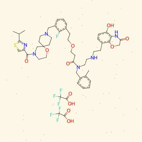 Cc1ccccc1CN(CCNCCc1ccc(O)c2c1OCC(=O)N2)C(=O)CCOCCc1cccc(CN2CCC3(CC2)CN(C(=O)c2csc(C(C)C)n2)CCO3)c1F.O=C(O)C(F)(F)F.O=C(O)C(F)(F)F